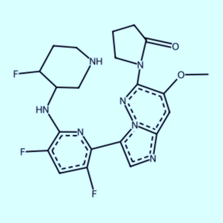 COc1cc2ncc(-c3nc(NC4CNCCC4F)c(F)cc3F)n2nc1N1CCCC1=O